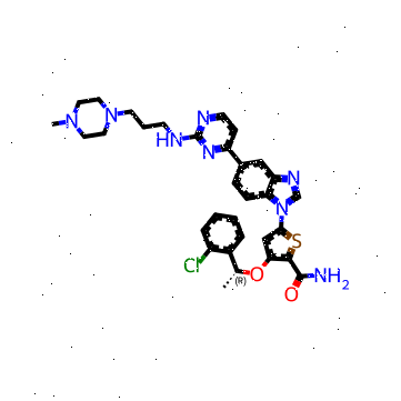 C[C@@H](Oc1cc(-n2cnc3cc(-c4ccnc(NCCCN5CCN(C)CC5)n4)ccc32)sc1C(N)=O)c1ccccc1Cl